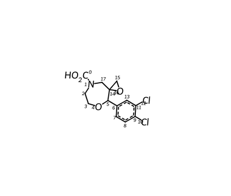 O=C(O)N1CCOC(c2ccc(Cl)c(Cl)c2)C2(CO2)C1